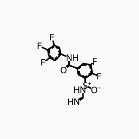 N=CN[S+]([O-])c1cc(C(=O)Nc2cc(F)c(F)c(F)c2)cc(F)c1F